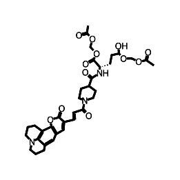 CC(=O)OCOC(=O)[C@H](CCC(O)OCOC(C)=O)NC(=O)C1CCN(C(=O)/C=C/c2cc3cc4c5c(c3oc2=O)CCCN5CCC4)CC1